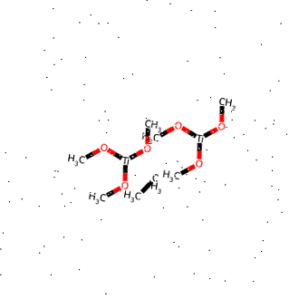 CC.C[O][Ti]([O]C)[O]C.C[O][Ti]([O]C)[O]C